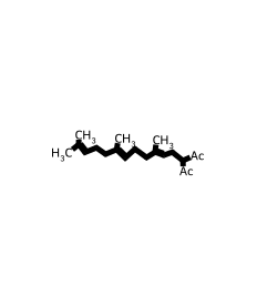 CC(=O)C(C/C=C(\C)CC/C=C(\C)CCC=C(C)C)C(C)=O